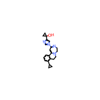 OC1(c2cn(C3=NCCN4CCc5c(cccc5C5CC5)C4=C3)cn2)CC1